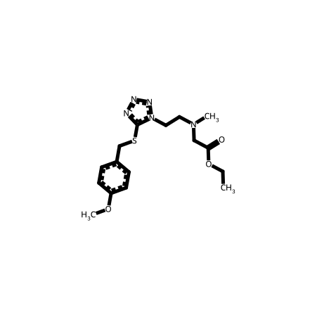 CCOC(=O)CN(C)CCn1nnnc1SCc1ccc(OC)cc1